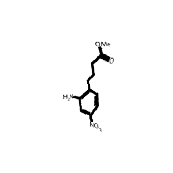 COC(=O)CCCc1ccc([N+](=O)[O-])cc1N